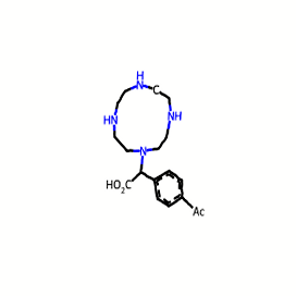 CC(=O)c1ccc(C(C(=O)O)N2CCNCCNCCNCC2)cc1